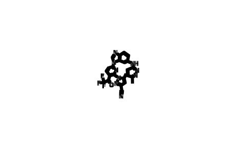 Cc1ccc(Nc2ccc3ncn(-c4ccc(C(=O)C(F)(F)F)c(-n5nc(C#N)cc5C)n4)c3c2)nn1